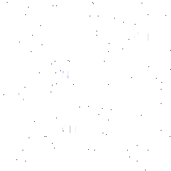 CCCN1CCN=C1C